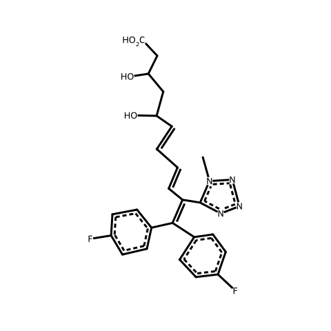 Cn1nnnc1C(C=CC=CC(O)CC(O)CC(=O)O)=C(c1ccc(F)cc1)c1ccc(F)cc1